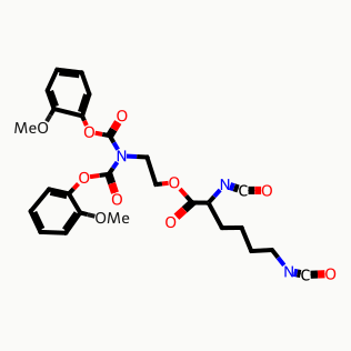 COc1ccccc1OC(=O)N(CCOC(=O)C(CCCCN=C=O)N=C=O)C(=O)Oc1ccccc1OC